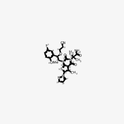 COc1ccc(F)cc1C(Cn1c(=O)n(C(C)(C)C(N)=O)c(=O)c2c(C)c(-n3cccn3)sc21)OCCC#N